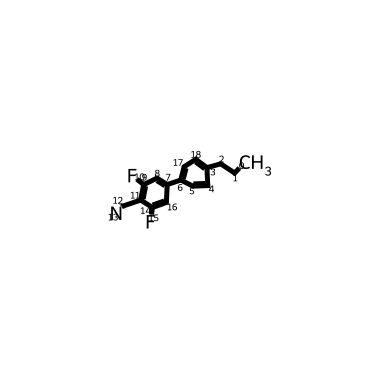 CCCc1ccc(-c2cc(F)c(C#N)c(F)c2)cc1